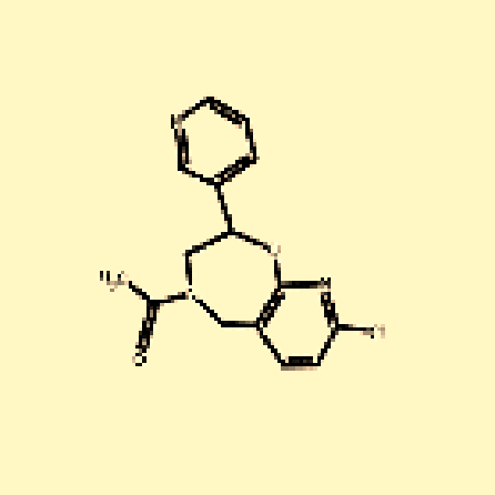 CC(=O)N1Cc2ccc(Cl)nc2OC(c2cccnc2)C1